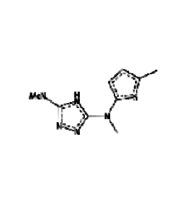 CNc1nnc(N(C)c2ccc(C)s2)[nH]1